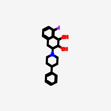 OC1c2c(I)cccc2CC(N2CCC(c3ccccc3)CC2)C1O